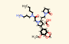 CCCCN(CCCN)C(=O)CN1C[C@H](c2cc(OC)c3c(c2)OCO3)[C@@H](C(=O)O)[C@@H]1CCN1CCCC1=O